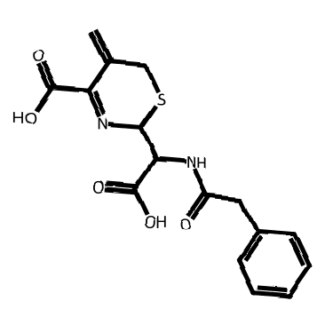 C=C1CSC(C(NC(=O)Cc2ccccc2)C(=O)O)N=C1C(=O)O